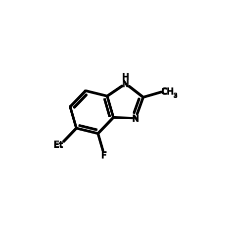 CCc1ccc2[nH]c(C)nc2c1F